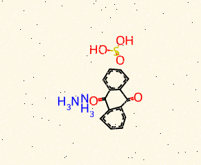 N.N.O=C1c2ccccc2C(=O)c2ccccc21.O=S(O)O